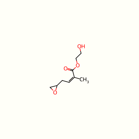 CC(=CCC1CO1)C(=O)OCCO